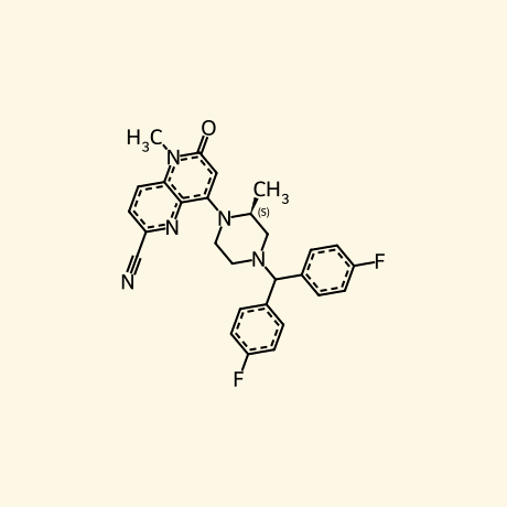 C[C@H]1CN(C(c2ccc(F)cc2)c2ccc(F)cc2)CCN1c1cc(=O)n(C)c2ccc(C#N)nc12